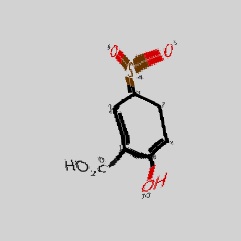 O=C(O)C1=CC(=S(=O)=O)CC=C1O